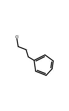 ClC[CH]Cc1ccccc1